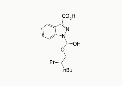 CCCCC(CC)COC(O)n1nc(C(=O)O)c2ccccc21